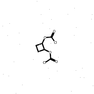 O=C(Cl)OC1CCC1OC(=O)Cl